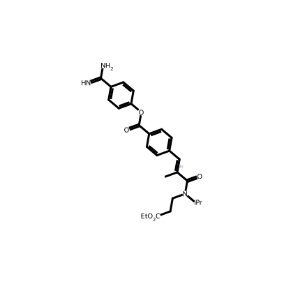 CCOC(=O)CCN(C(=O)/C(C)=C/c1ccc(C(=O)Oc2ccc(C(=N)N)cc2)cc1)C(C)C